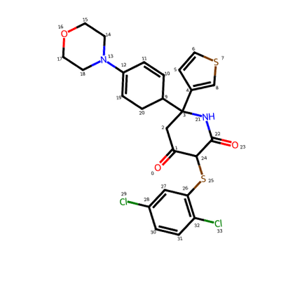 O=C1CC(c2ccsc2)(C2C=CC(N3CCOCC3)=CC2)NC(=O)C1Sc1cc(Cl)ccc1Cl